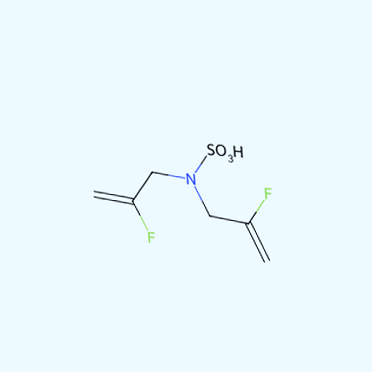 C=C(F)CN(CC(=C)F)S(=O)(=O)O